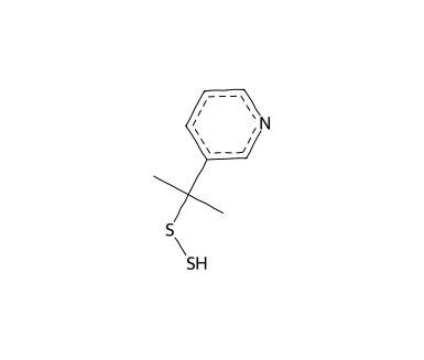 CC(C)(SS)c1cccnc1